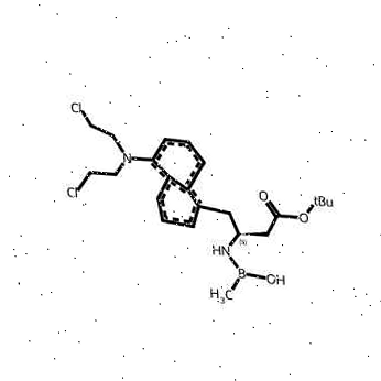 CB(O)N[C@H](CC(=O)OC(C)(C)C)Cc1cccc2c(N(CCCl)CCCl)cccc12